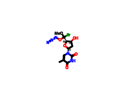 COC(Br)(ON=[N+]=[N-])[C@H]1O[C@@H](n2cc(C)c(=O)[nH]c2=O)C[C@@H]1O